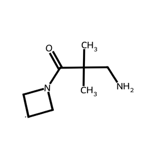 CC(C)(CN)C(=O)N1C[CH]C1